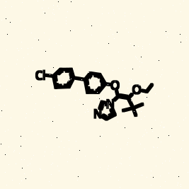 CCO/C(=C(\Oc1ccc(-c2ccc(Cl)cc2)cc1)n1ccnc1)C(C)(C)C